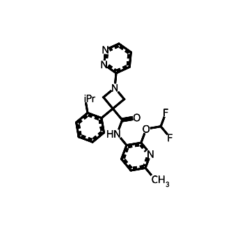 Cc1ccc(NC(=O)C2(c3ccccc3C(C)C)CN(c3cccnn3)C2)c(OC(F)F)n1